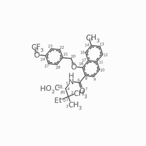 CCC(C)(C)[C@@H](NC(=O)c1ccc2ccc(C)cc2c1OCc1ccc(OC(F)(F)F)cc1)C(=O)O